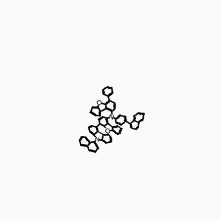 c1ccc(-c2ccc(N(c3ccc(-c4cccc5ccccc45)cc3)c3ccc(-c4cccc5c4c4ccccc4n5-c4cccc5ccccc45)c4oc5ccccc5c34)c3c2oc2ccccc23)cc1